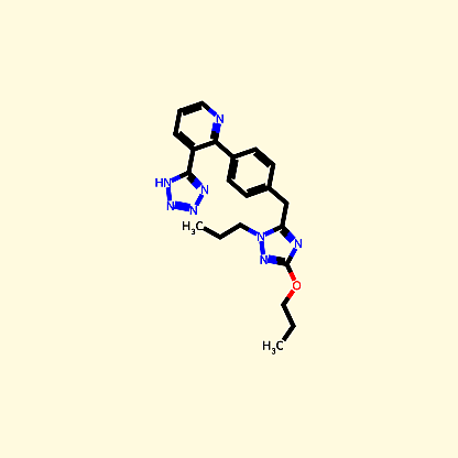 CCCOc1nc(Cc2ccc(-c3ncccc3-c3nnn[nH]3)cc2)n(CCC)n1